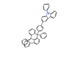 c1ccc(-n2c3ccccc3c3cc(-c4ccc(C5(c6ccccc6)c6ccccc6C6(c7ccccc7)c7ccccc7-c7cccc5c76)cc4)ccc32)cc1